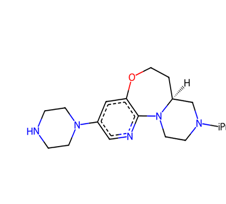 CC(C)N1CCN2c3ncc(N4CCNCC4)cc3OCC[C@H]2C1